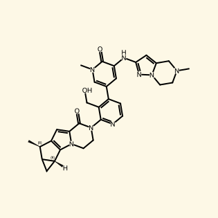 C[C@H]1c2cc3n(c2[C@@H]2CC12)CCN(c1nccc(-c2cc(Nc4cc5n(n4)CCN(C)C5)c(=O)n(C)c2)c1CO)C3=O